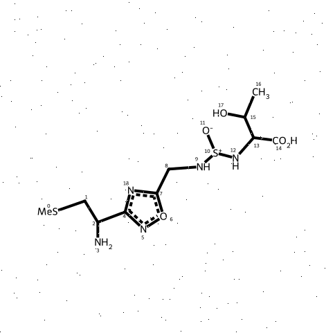 CSCC(N)c1noc(CN[S+]([O-])NC(C(=O)O)C(C)O)n1